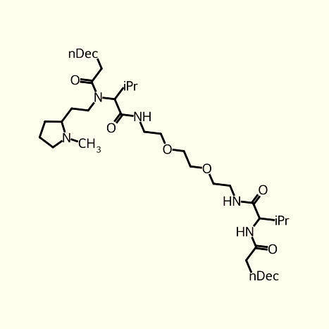 CCCCCCCCCCCC(=O)NC(C(=O)NCCOCCOCCNC(=O)C(C(C)C)N(CCC1CCCN1C)C(=O)CCCCCCCCCCC)C(C)C